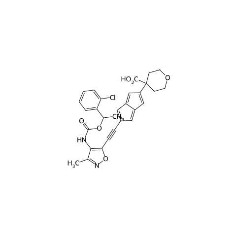 Cc1noc(C#CC2=CC3=CC(C4(C(=O)O)CCOCC4)=CC3=C2)c1NC(=O)OC(C)c1ccccc1Cl